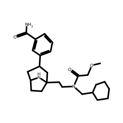 COCC(=O)N(CCC12CCC(CC(c3cccc(C(N)=O)c3)C1)N2)CC1CCCCC1